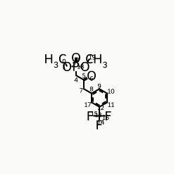 COP(=O)(CC(=O)Cc1cccc(C(F)(F)F)c1)OC